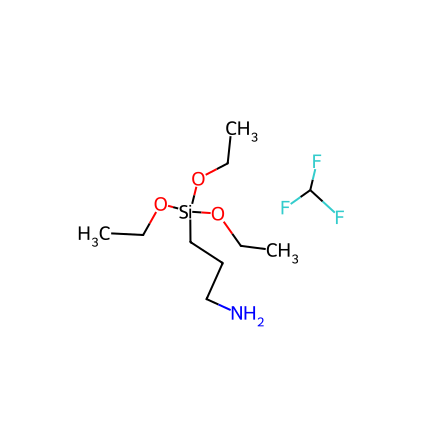 CCO[Si](CCCN)(OCC)OCC.FC(F)F